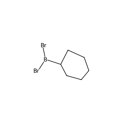 BrB(Br)C1CCCCC1